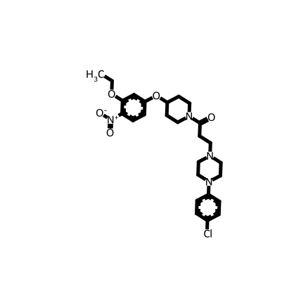 CCOc1cc(OC2CCN(C(=O)CCN3CCN(c4ccc(Cl)cc4)CC3)CC2)ccc1[N+](=O)[O-]